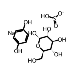 O=S([O-])O.OC[C@H]1O[C@H](O)[C@H](O)[C@@H](O)[C@@H]1O.Oc1ccc(O)cc1.[Na+]